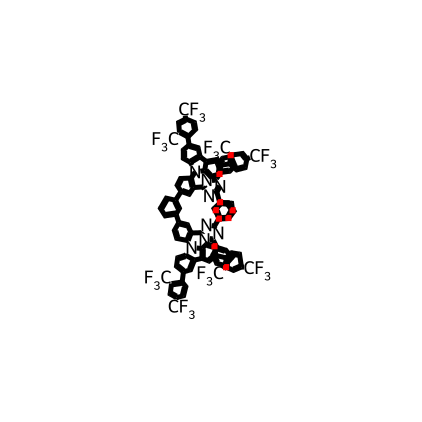 FC(F)(F)c1ccc(-c2ccc3c(c2)c2cc(-c4ccc(C(F)(F)F)cc4C(F)(F)F)ccc2n3-c2ccc(-c3cccc(-c4ccc(-n5c6ccc(-c7ccc(C(F)(F)F)cc7C(F)(F)F)cc6c6cc(-c7ccc(C(F)(F)F)cc7C(F)(F)F)ccc65)c(-c5nc(-c6ccccc6)nc(-c6ccccc6)n5)c4)c3)cc2-c2nc(-c3ccccc3)nc(-c3ccccc3)n2)c(C(F)(F)F)c1